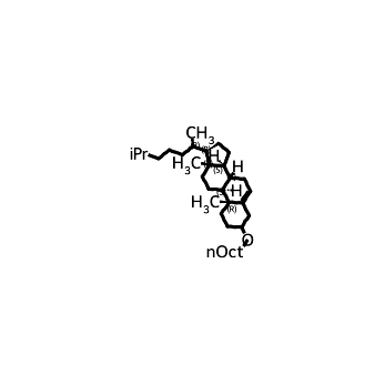 C[CH]CCCCCCOC1CC[C@@]2(C)C(=CC[C@H]3[C@@H]4CC[C@H]([C@H](C)CCCC(C)C)[C@@]4(C)CC[C@@H]32)C1